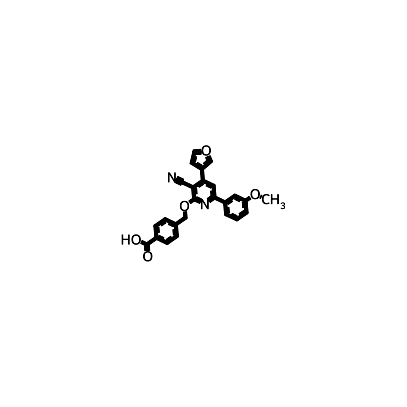 COc1cccc(-c2cc(-c3ccoc3)c(C#N)c(OCc3ccc(C(=O)O)cc3)n2)c1